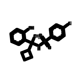 CC(NS(=O)(=O)c1ccc(Cl)cc1)(c1ccccc1O)C1CCC1